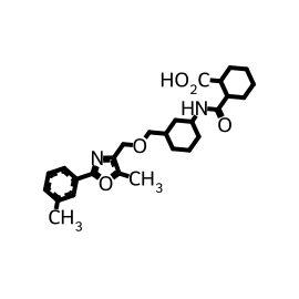 Cc1cccc(-c2nc(COCC3CCCC(NC(=O)C4CCCCC4C(=O)O)C3)c(C)o2)c1